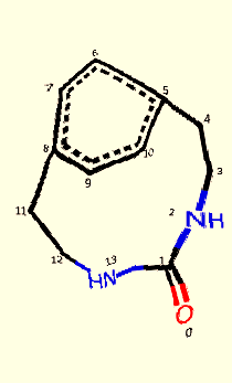 O=C1NCCc2ccc(cc2)CCN1